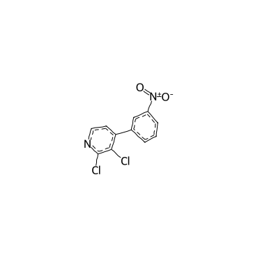 O=[N+]([O-])c1cccc(-c2ccnc(Cl)c2Cl)c1